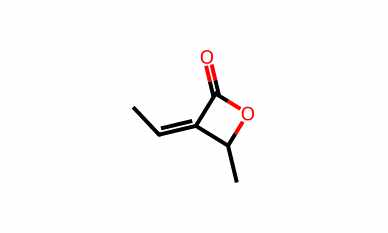 C/C=C1\C(=O)OC1C